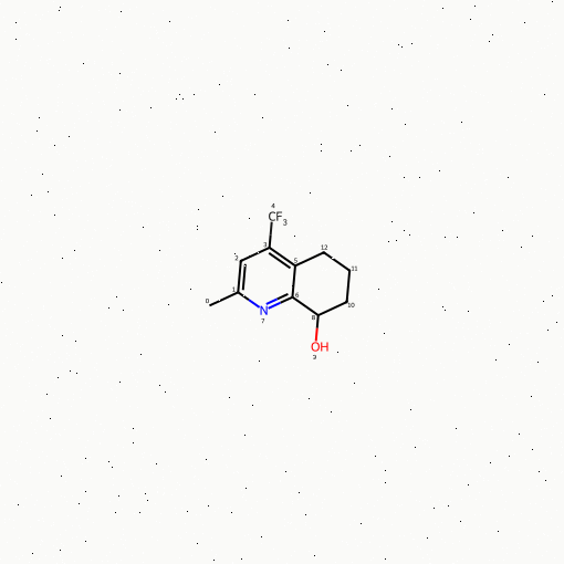 Cc1cc(C(F)(F)F)c2c(n1)C(O)CCC2